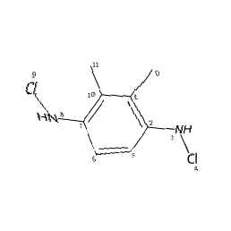 Cc1c(NCl)ccc(NCl)c1C